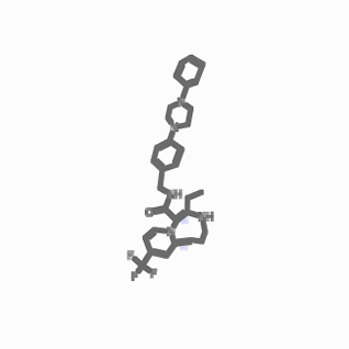 CC/C1=C(\C(=O)NCc2ccc(N3CCN(c4ccccc4)CC3)cc2)N2C=CC(C(F)(F)F)=C/C2=C\CCN1